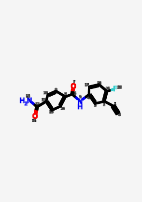 C#Cc1cc(NC(=O)c2ccc(C(N)=O)cc2)ccc1F